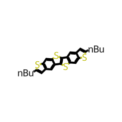 CCCCc1cc2cc3c(cc2s1)sc1c2cc4cc(CCCC)sc4cc2sc31